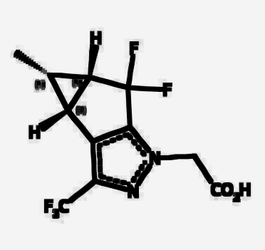 C[C@H]1[C@H]2c3c(C(F)(F)F)nn(CC(=O)O)c3C(F)(F)[C@@H]12